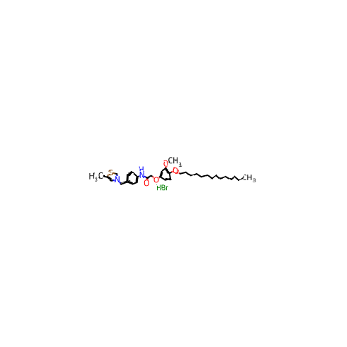 Br.CCCCCCCCCCCCCCOc1ccc(OCC(=O)Nc2ccc(CN3C=C(C)SC3)cc2)cc1OC